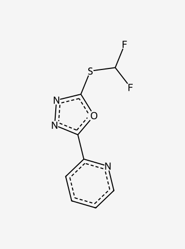 FC(F)Sc1nnc(-c2ccccn2)o1